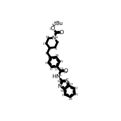 CC(C)(C)OC(=O)N1CCC(Cc2ccc(C(=O)Nc3nc4ccccc4s3)cc2)CC1